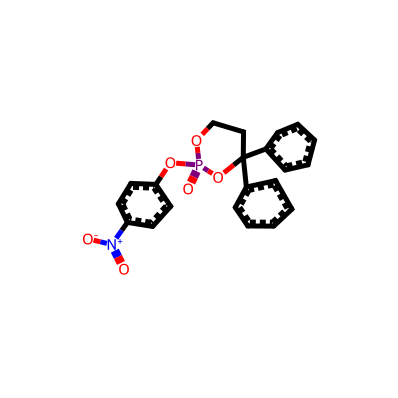 O=[N+]([O-])c1ccc(OP2(=O)OCCC(c3ccccc3)(c3ccccc3)O2)cc1